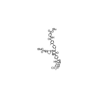 Cc1cc(C(=O)N[C@H]2CCN(C(=O)OC(C)(C)C)C2)ccc1-c1ccc(C[C@H](NC(=O)[C@H]2CC[C@H](CNC(=O)OC(C)(C)C)CC2)C(=O)Nc2ccc(-c3nnc(C(F)(F)C(F)(F)C(=O)O)[nH]3)cc2)cc1